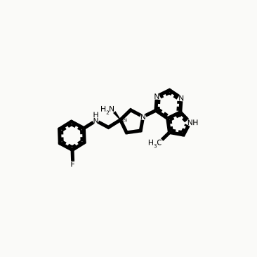 Cc1c[nH]c2ncnc(N3CC[C@](N)(CNc4cccc(F)c4)C3)c12